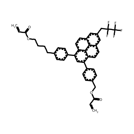 C=CC(=O)OCCCCc1ccc(-c2cc(-c3ccc(COC(=O)C=C)cc3)c3ccc4cc(CC(F)(F)C(F)(F)F)cc5ccc2c3c54)cc1